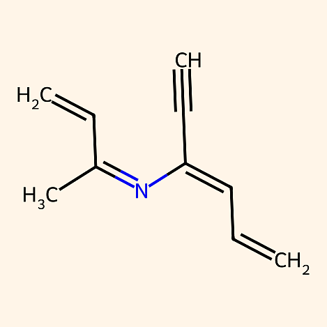 C#CC(=C/C=C)/N=C(/C)C=C